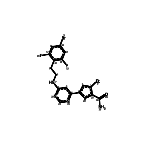 CCc1cc(-c2cc(NCCc3c(F)cc(Br)cc3F)ncn2)sc1C(N)=O